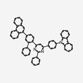 c1ccc(-c2nc(-c3ccc(-n4c5ccccc5c5ccccc54)cc3)cc(-c3ccc(-c4cc5ccccc5c5ccccc45)cc3-c3ccccc3)n2)cc1